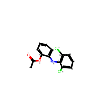 CC(=O)Oc1ccccc1Nc1c(Cl)cccc1Cl